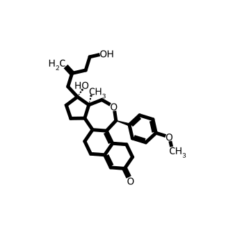 C=C(CCO)C[C@]1(O)CCC2C3CCC4=CC(=O)CCC4=C3[C@H](c3ccc(OC)cc3)OC[C@@]21C